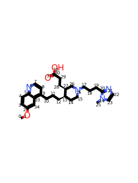 COc1ccc2nccc(CCC[C@@H]3CCN(CCCc4nccn4C)C[C@@H]3CCC(=O)O)c2c1